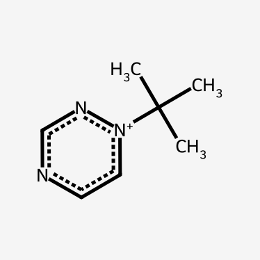 CC(C)(C)[n+]1ccncn1